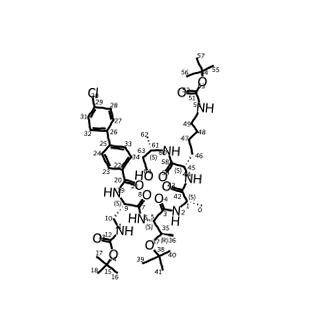 C[C@H](NC(=O)[C@@H](NC(=O)[C@H](CNC(=O)OC(C)(C)C)NC(=O)c1ccc(-c2ccc(Cl)cc2)cc1)[C@@H](C)OC(C)(C)C)C(=O)N[C@@H](CCCCNC(=O)OC(C)(C)C)C(=O)N[C@@H](C)CO